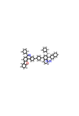 Nc1cc2ccccc2cc1-c1c(Cc2ccccc2)cc(-c2ccc(-c3ccc4c(c3)nc(-c3ccccc3)c3ccc5c6ccccc6oc5c34)cc2)c2ccccc12